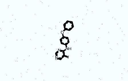 Ic1cncnc1Nc1ccc(Oc2ccccc2)cc1